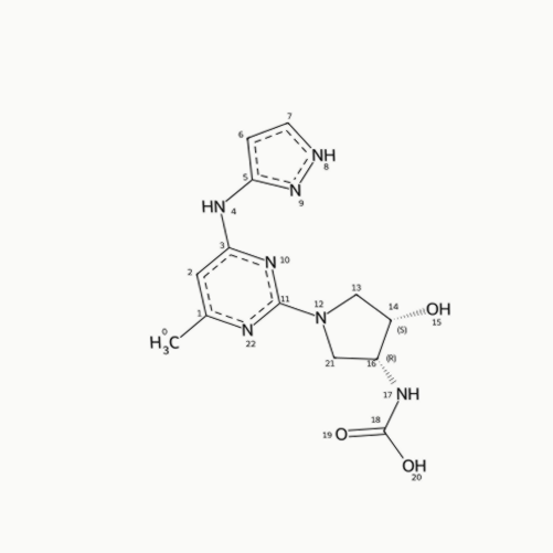 Cc1cc(Nc2cc[nH]n2)nc(N2C[C@H](O)[C@H](NC(=O)O)C2)n1